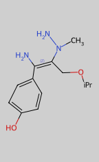 CC(C)OC/C(=C(/N)c1ccc(O)cc1)N(C)N